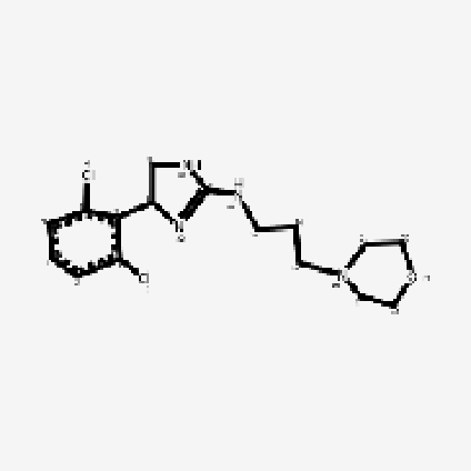 Clc1cccc(Cl)c1C1CNC(NCCCN2CCOCC2)=N1